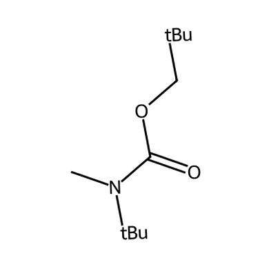 CN(C(=O)OCC(C)(C)C)C(C)(C)C